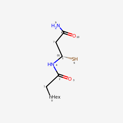 CCCCCCCC(=O)N[C@@H](S)CC(N)=O